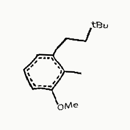 COc1cccc(CCC(C)(C)C)c1C